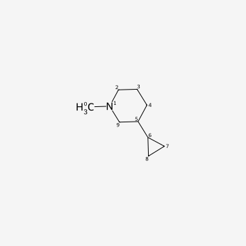 CN1CCCC(C2CC2)C1